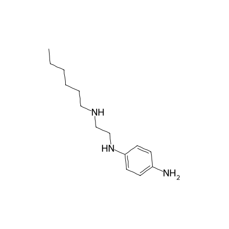 CCCCCCNCCNc1ccc(N)cc1